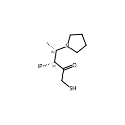 CC(C)[C@@H](C(=O)CS)[C@H](C)N1CCCC1